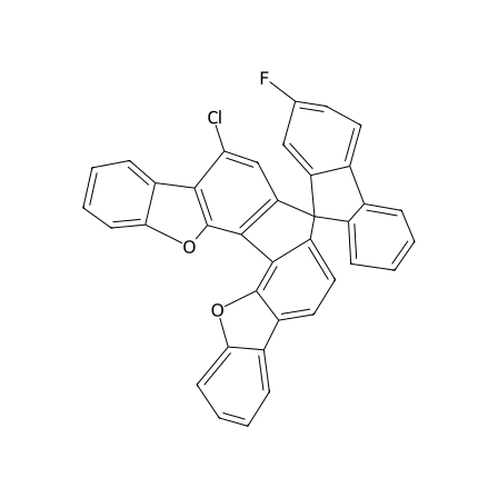 Fc1ccc2c(c1)C1(c3ccccc3-2)c2ccc3c(oc4ccccc43)c2-c2c1cc(Cl)c1c2oc2ccccc21